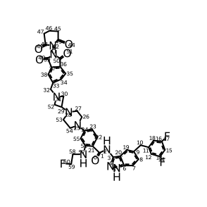 O=C(Nc1n[nH]c2ccc(Cc3cc(F)cc(F)c3)cc12)c1ccc(N2CCN(C3CN(Cc4ccc5c(c4)C(=O)N(N4C(=O)CCCC4=O)C5=O)C3)CC2)cc1NCCF